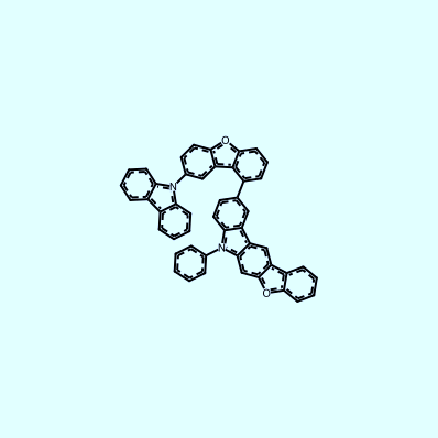 c1ccc(-n2c3ccc(-c4cccc5oc6ccc(-n7c8ccccc8c8ccccc87)cc6c45)cc3c3cc4c(cc32)oc2ccccc24)cc1